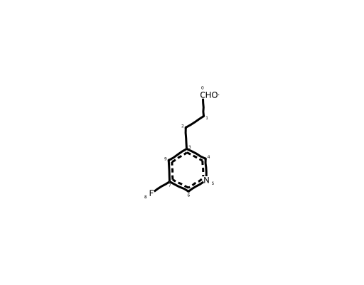 O=[C]CCc1cncc(F)c1